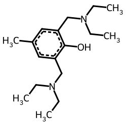 CCN(CC)Cc1cc(C)cc(CN(CC)CC)c1O